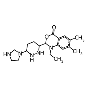 CCN1c2cc(C)c(C)cc2C(=O)OC1C1CCC(N2CCNC2)NN1